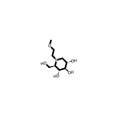 COCCN1C[C@H](O)[C@@H](O)[C@H](O)[C@H]1CO